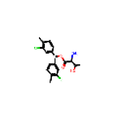 Cc1ccc(B(OC(=O)C(N)C(C)O)c2ccc(C)c(Cl)c2)cc1Cl